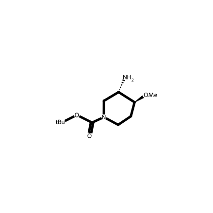 CO[C@H]1CCN(C(=O)OC(C)(C)C)C[C@@H]1N